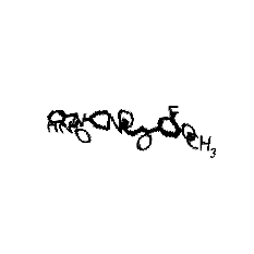 COc1ccc(C(=O)C=CC(=O)N2CCC(N3Cc4ccccc4NC3=O)CC2)cc1F